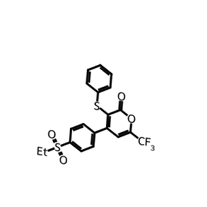 CCS(=O)(=O)c1ccc(-c2cc(C(F)(F)F)oc(=O)c2Sc2ccccc2)cc1